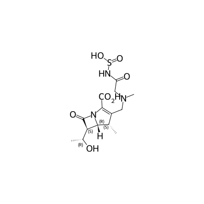 C[C@@H](O)[C@H]1C(=O)N2C(C(=O)O)=C(CN(C)CC(=O)NS(=O)O)[C@H](C)[C@H]12